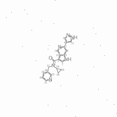 O=C(c1c[nH]c2cc(-c3cn[nH]c3)ncc12)N(Cc1cccnc1)C1CC1